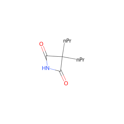 CCCC1(CCC)C(=O)NC1=O